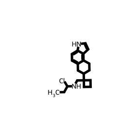 CCC(Cl)NCC1(C2CCc3c(ccc4[nH]ccc34)C2)CCC1